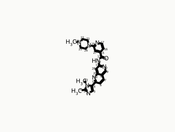 Cc1ncc(-c2ccc3cnc(NC(=O)c4ccnc(N5CCN(C)CC5)c4)cc3n2)n1C